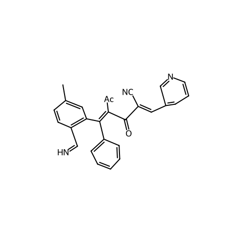 CC(=O)/C(C(=O)/C(C#N)=C/c1cccnc1)=C(/c1ccccc1)c1cc(C)ccc1C=N